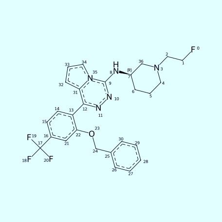 FCCN1CCC[C@@H](Nc2nnc(-c3ccc(C(F)(F)F)cc3OCc3ccccc3)c3cccn23)C1